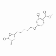 C=C1CC(CCCCCOc2ccc(C(=O)OC)c(Cl)c2)OC1=O